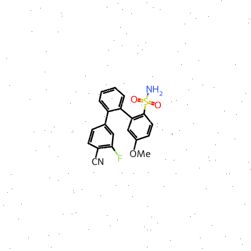 COc1ccc(S(N)(=O)=O)c(-c2ccccc2-c2ccc(C#N)c(F)c2)c1